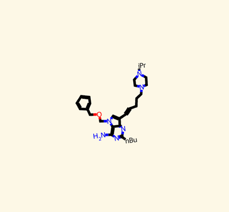 CCCCc1nc(N)c2c(n1)c(C#CCCCN1CCN(C(C)C)CC1)cn2COCc1ccccc1